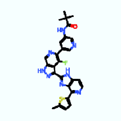 Cc1ccc(-c2nccc3[nH]c(-c4n[nH]c5cnc(-c6cncc(NC(=O)C(C)(C)C)c6)c(F)c45)nc23)s1